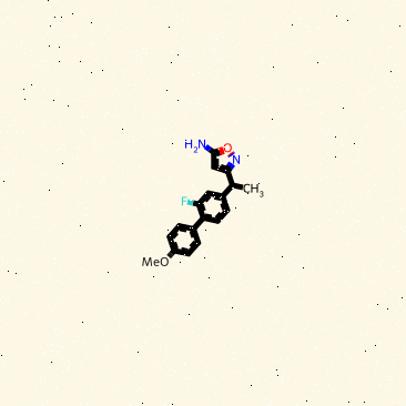 COc1ccc(-c2ccc(C(C)c3cc(N)on3)cc2F)cc1